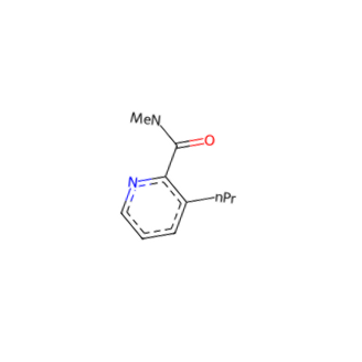 CCCc1cccnc1C(=O)NC